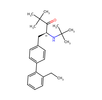 CCc1ccccc1-c1ccc(C[C@H](NC(C)(C)C)C(=O)C(C)(C)C)cc1